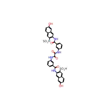 O=C(Nc1cccc(C(=O)Nc2cc3cc(O)ccc3cc2S(=O)(=O)O)c1)C(=O)Nc1cccc(C(=O)Nc2cc3cc(O)ccc3cc2S(=O)(=O)O)c1